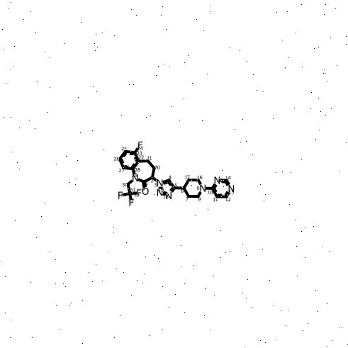 O=C1C(n2cc(C3CCN(c4ccncn4)CC3)nn2)CCc2c(F)cccc2N1CC(F)(F)F